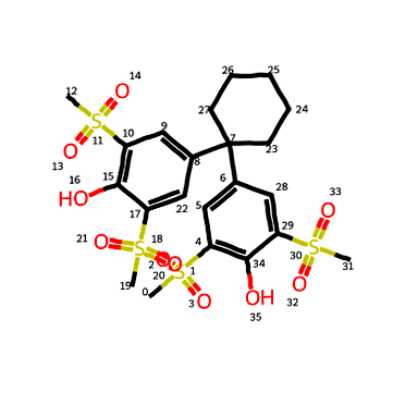 CS(=O)(=O)c1cc(C2(c3cc(S(C)(=O)=O)c(O)c(S(C)(=O)=O)c3)CCCCC2)cc(S(C)(=O)=O)c1O